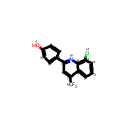 Oc1ccc(-c2cc(C(F)(F)F)c3cccc(Cl)c3n2)cc1